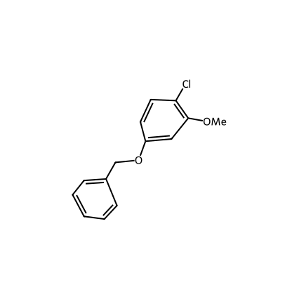 COc1cc(OCc2ccccc2)ccc1Cl